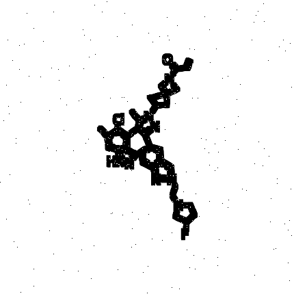 C=CC(=O)N1CC2(CC(n3nc(-c4ccc5nn(CCN6CCC(F)C6)cc5c4)c(-c4c(Cl)c(C)cc5[nH]ncc45)c3C)C2)C1